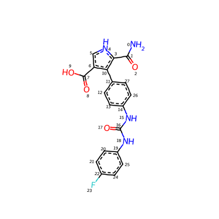 NC(=O)c1[nH]cc(C(=O)O)c1-c1ccc(NC(=O)Nc2ccc(F)cc2)cc1